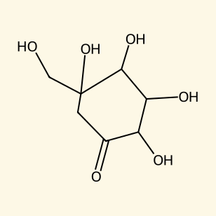 O=C1CC(O)(CO)C(O)C(O)C1O